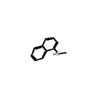 C[SiH]c1cccc2ccccc12